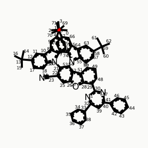 CC(C)(C)c1ccc2c(c1)c1cc(C(C)(C)C)ccc1n2-c1c(C#N)cc2oc3c(-c4nc(-c5ccccc5)cc(-c5ccccc5)n4)cccc3c2c1-n1c2ccc(C(C)(C)C)cc2c2cc(C(C)(C)C)ccc21